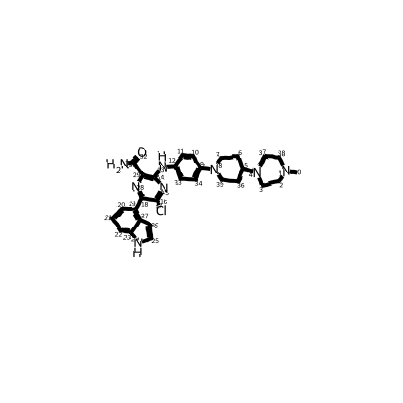 CN1CCN(C2CCN(c3ccc(Nc4nc(Cl)c(-c5cccc6[nH]ccc56)nc4C(N)=O)cc3)CC2)CC1